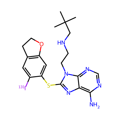 CC(C)(C)CNCCn1c(Sc2cc3c(cc2[131I])CCO3)nc2c(N)ncnc21